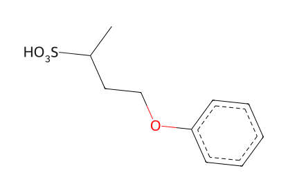 CC(CCOc1ccccc1)S(=O)(=O)O